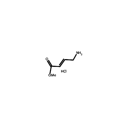 COC(=O)C=CCN.Cl